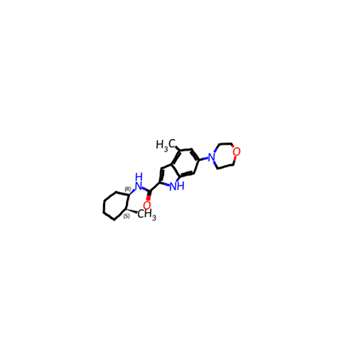 Cc1cc(N2CCOCC2)cc2[nH]c(C(=O)N[C@@H]3CCCC[C@@H]3C)cc12